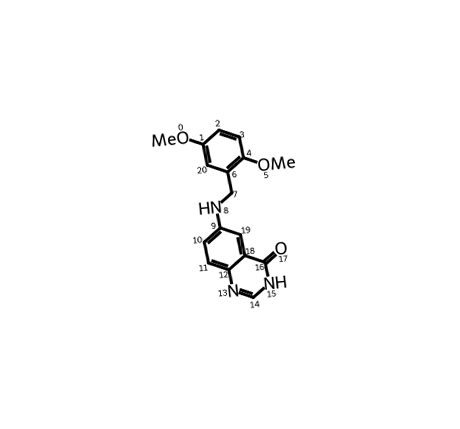 COc1ccc(OC)c(CNc2ccc3nc[nH]c(=O)c3c2)c1